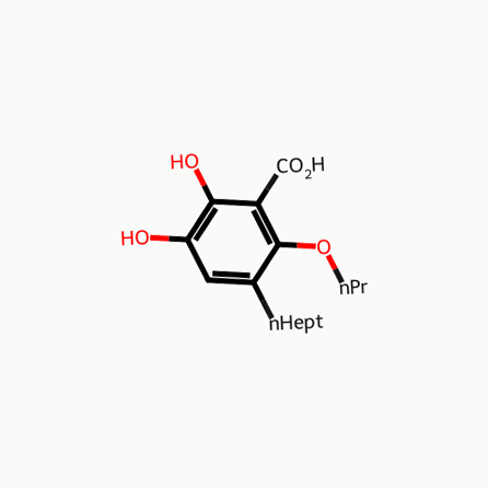 CCCCCCCc1cc(O)c(O)c(C(=O)O)c1OCCC